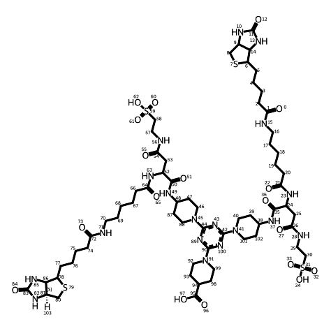 O=C(CCCCC1SCC2NC(=O)NC21)NCCCCCC(=O)NC(CC(=O)NCCS(=O)(=O)O)C(=O)NC1CCN(c2nc(N3CCC(NC(=O)C(CC(=O)NCCS(=O)(=O)O)NC(=O)CCCCCNC(=O)CCCCC4SC[C@H]5NC(=O)NC45)CC3)nc(N3CCC(C(=O)O)CC3)n2)CC1